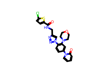 O=C(NCc1cn(-c2ccc(-n3ccccc3=O)cc2N2CCOCC2)nn1)c1ccc(Cl)s1